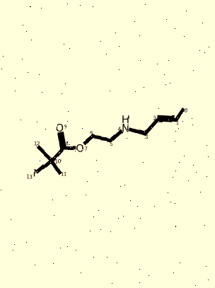 C/C=C/CNCCOC(=O)C(C)(C)I